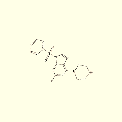 O=S(=O)(c1ccccc1)n1cnc2c(N3CCNCC3)cc(F)cc21